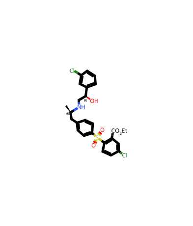 CCOC(=O)c1cc(Cl)ccc1S(=O)(=O)c1ccc(C[C@@H](C)NC[C@H](O)c2cccc(Cl)c2)cc1